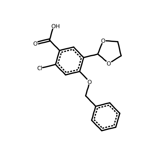 O=C(O)c1cc(C2OCCO2)c(OCc2ccccc2)cc1Cl